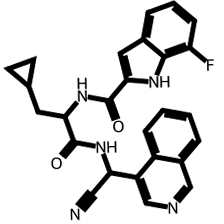 N#CC(NC(=O)C(CC1CC1)NC(=O)c1cc2cccc(F)c2[nH]1)c1cncc2ccccc12